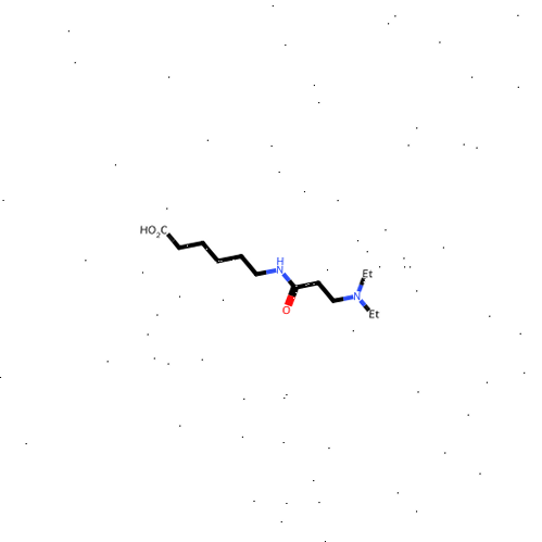 CCN(CC)CCC(=O)NCCCCCC(=O)O